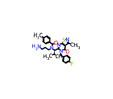 Cc1ccc(C(=O)N(CCCN)[C@@H](c2nc3snc(C)c3c(=O)n2Cc2ccc(F)cc2)C(C)C)cc1